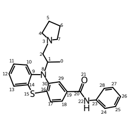 CC(CN1CCCC1)N1c2ccccc2Sc2ccc(C(=O)Nc3ccccc3)cc21